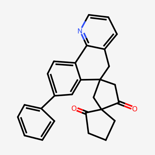 O=C1CCCC12CC1(CC2=O)Cc2cccnc2-c2ccc(-c3ccccc3)cc21